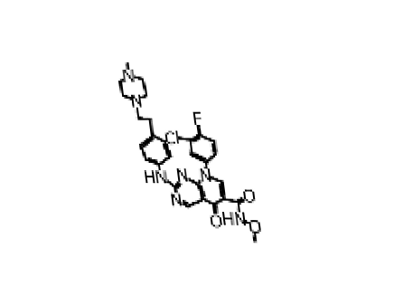 CONC(=O)c1cn(-c2ccc(F)c(Cl)c2)c2nc(Nc3ccc(CCN4CCN(C)CC4)cc3)ncc2c1=O